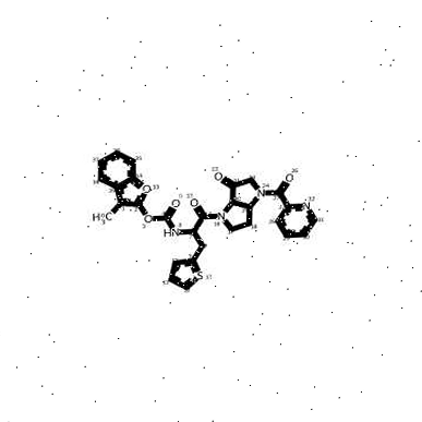 Cc1c(OC(=O)NC(Cc2cccs2)C(=O)N2CCC3C2C(=O)CN3C(=O)c2ccccn2)oc2ccccc12